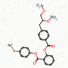 N#CSc1ccc(OC(=O)c2ccccc2OC(=O)c2ccc(CC(CO[N+](=O)[O-])O[N+](=O)[O-])cc2)cc1